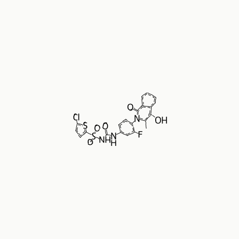 Cc1c(O)c2ccccc2c(=O)n1-c1ccc(NC(=O)NS(=O)(=O)c2ccc(Cl)s2)cc1F